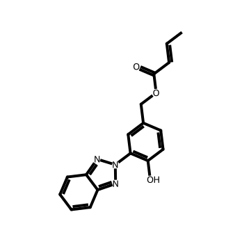 CC=CC(=O)OCc1ccc(O)c(-n2nc3ccccc3n2)c1